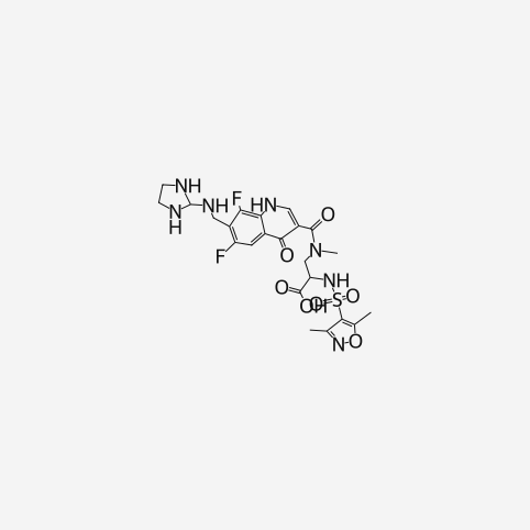 Cc1noc(C)c1S(=O)(=O)NC(CN(C)C(=O)c1c[nH]c2c(F)c(CNC3NCCN3)c(F)cc2c1=O)C(=O)O